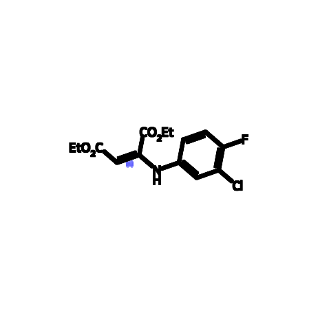 CCOC(=O)/C=C(/Nc1ccc(F)c(Cl)c1)C(=O)OCC